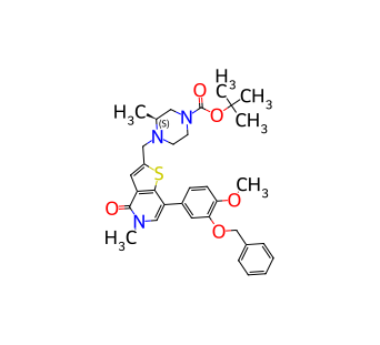 COc1ccc(-c2cn(C)c(=O)c3cc(CN4CCN(C(=O)OC(C)(C)C)C[C@@H]4C)sc23)cc1OCc1ccccc1